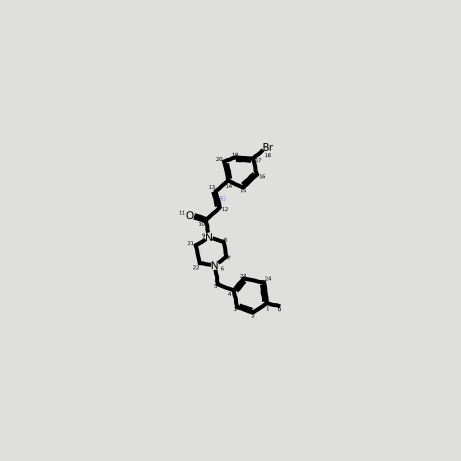 Cc1ccc(CN2CCN(C(=O)/C=C/c3ccc(Br)cc3)CC2)cc1